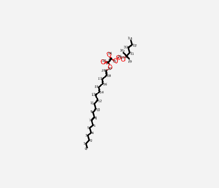 CCCCCCCCCCCCCCCCCCCCOC(=O)C(=O)OOOC(C)(C)CCCC